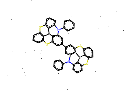 c1ccc(N2c3cccc4c3B3c5c(cccc5Sc5cc(-c6cc7c8c(c6)N(c6ccccc6)c6cccc9c6B8c6c(cccc6S7)S9)cc2c53)S4)cc1